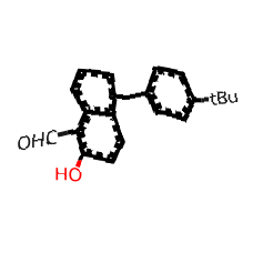 CC(C)(C)c1ccc(-c2cccc3c(C=O)c(O)ccc23)cc1